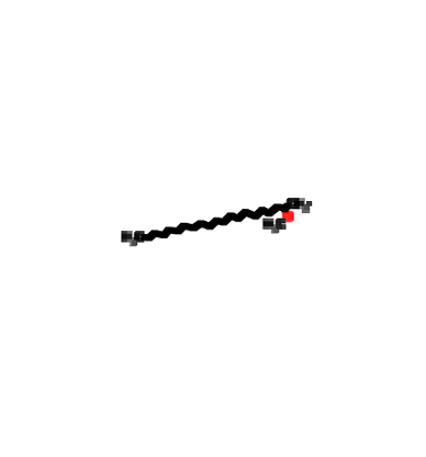 [CH2]C(CCCCCCCCCCCCCCCCCCC)OC